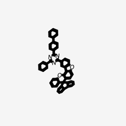 c1ccc(-c2ccc(-c3nc(-c4ccccc4)nc(-c4ccc5oc6ccc7c(c6c5c4)Oc4ccccc4C74c5ccccc5-c5ccccc54)n3)cc2)cc1